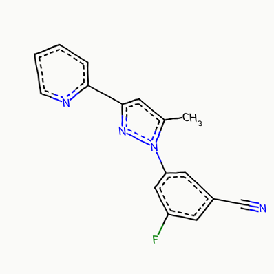 Cc1cc(-c2ccccn2)nn1-c1cc(F)cc(C#N)c1